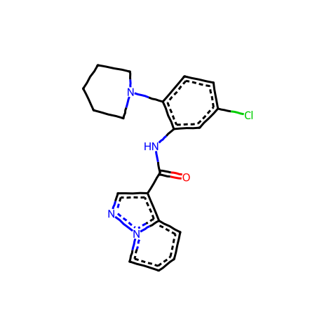 O=C(Nc1cc(Cl)ccc1N1CCCCC1)c1cnn2ccccc12